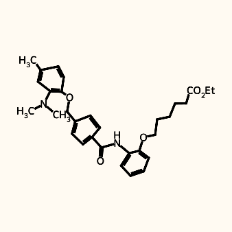 CCOC(=O)CCCCCOc1ccccc1NC(=O)c1ccc(COc2ccc(C)cc2N(C)C)cc1